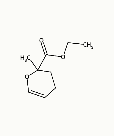 CCOC(=O)C1(C)CCC=CO1